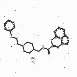 Cl.Cl.O=C(NCC1CCN(CCSc2ccccc2)CC1)C1=Cc2cnc3cccc(n23)S1